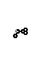 c1ccc(-c2cc(-c3cc4c5c(c3)CCCC5CCC4)ccn2)cc1